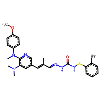 CC(/C=N/NC(=O)NSc1ccccc1C(C)C)=C\c1cnc(N(C)c2ccc(OC(F)(F)F)cc2)c(N(C)C)c1